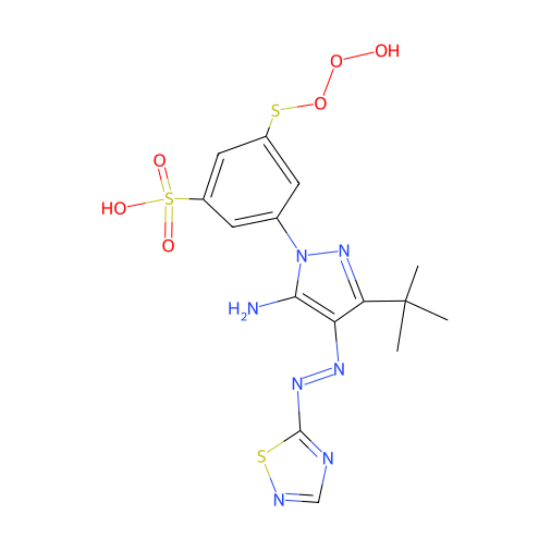 CC(C)(C)c1nn(-c2cc(SOOO)cc(S(=O)(=O)O)c2)c(N)c1N=Nc1ncns1